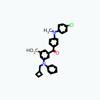 CN(c1ccc(Cl)cc1)c1ccc(C(=O)c2cc(C(=O)O)cc(N(CC3CCC3)c3ccccc3)c2)cc1